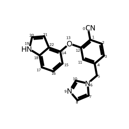 N#Cc1ccc(Cn2ccnc2)cc1Oc1cccc2[nH]ccc12